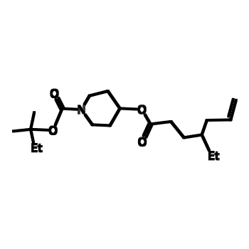 C=CCC(CC)CCC(=O)OC1CCN(C(=O)OC(C)(C)CC)CC1